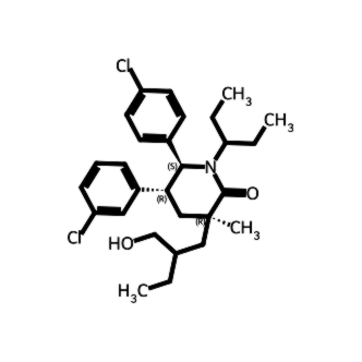 CCC(CO)C[C@@]1(C)C[C@H](c2cccc(Cl)c2)[C@@H](c2ccc(Cl)cc2)N(C(CC)CC)C1=O